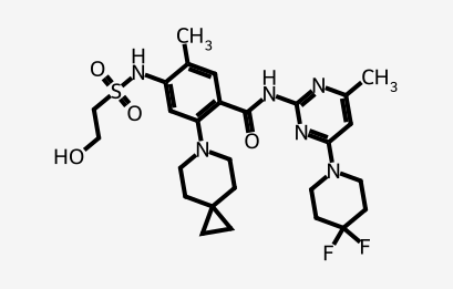 Cc1cc(N2CCC(F)(F)CC2)nc(NC(=O)c2cc(C)c(NS(=O)(=O)CCO)cc2N2CCC3(CC2)CC3)n1